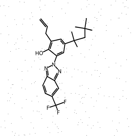 C=CCc1cc(C(C)(C)CC(C)(C)C)cc(-n2nc3ccc(C(F)(F)F)cc3n2)c1O